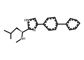 CN[C@@H](CC(C)C)c1nc(-c2ccc(-c3ccccc3)cc2)c[nH]1